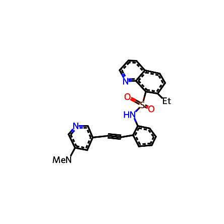 CCc1ccc2cccnc2c1S(=O)(=O)Nc1ccccc1C#Cc1cncc(NC)c1